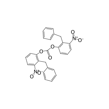 O=C(Oc1cccc([N+](=O)[O-])c1Cc1ccccc1)Oc1cccc([N+](=O)[O-])c1Cc1ccccc1